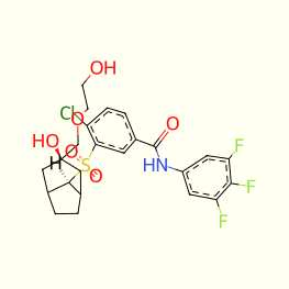 O=C(Nc1cc(F)c(F)c(F)c1)c1ccc(Cl)c(S(=O)(=O)[C@H]2C3CCC2C[C@](O)(COCCO)C3)c1